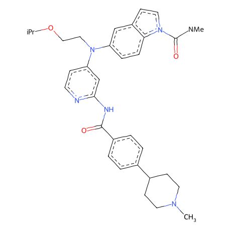 CNC(=O)n1ccc2cc(N(CCOC(C)C)c3ccnc(NC(=O)c4ccc(C5CCN(C)CC5)cc4)c3)ccc21